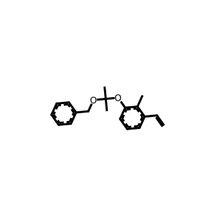 C=Cc1cccc(OC(C)(C)OCc2ccccc2)c1C